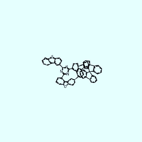 c1ccc(-c2ccc(-c3nc(-c4ccc5sc6ccccc6c5c4)nc(-c4cccc5oc6ccc(-c7ccc(-c8cccc9c8C8(c%10ccccc%10-c%10ccccc%108)c8ccccc8-9)cc7)cc6c45)n3)cc2)cc1